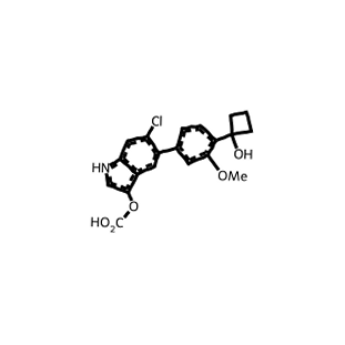 COc1cc(-c2cc3c(OC(=O)O)c[nH]c3cc2Cl)ccc1C1(O)CCC1